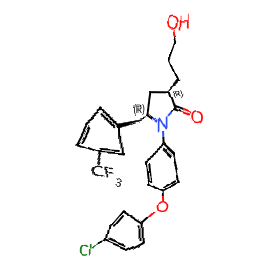 O=C1[C@H](CCCO)C[C@H](c2cccc(C(F)(F)F)c2)N1c1ccc(Oc2ccc(Cl)cc2)cc1